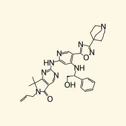 C=CCN1C(=O)c2cnc(Nc3cc(N[C@H](CO)c4ccccc4)c(-c4nc(C56CCN(CC5)CC6)no4)cn3)nc2C1(C)C